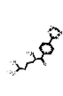 NC(CCCC(N)C(=O)c1ccc(-c2nncnn2)cc1)C(=O)O